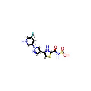 O=C(N[S@](=O)O)C1NC(c2cnn(C3=CC(F)=CNC3)c2)=CS1